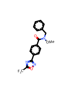 CON(Cc1ccccc1)C(=O)c1ccc(-c2noc(C(F)(F)F)n2)cc1